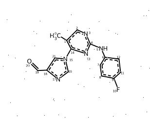 Cc1cnc(Nc2ccc(F)cc2)nc1-n1cnc(C=O)c1